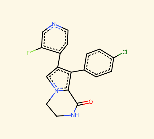 O=C1NCCn2cc(-c3ccncc3F)c(-c3ccc(Cl)cc3)c21